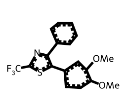 COc1ccc(-c2sc(C(F)(F)F)nc2-c2ccccc2)cc1OC